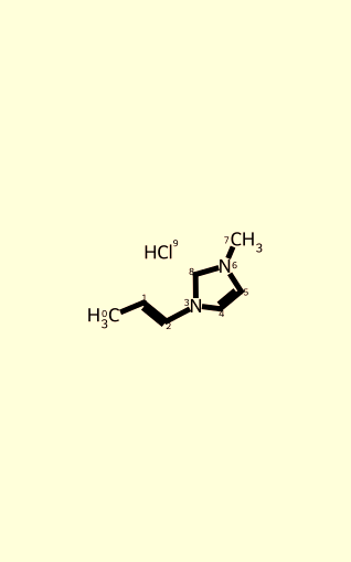 CC=CN1C=CN(C)C1.Cl